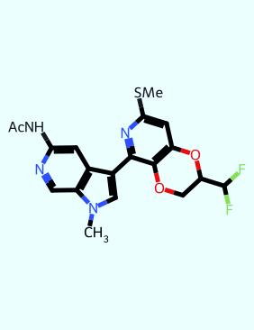 CSc1cc2c(c(-c3cn(C)c4cnc(NC(C)=O)cc34)n1)OCC(C(F)F)O2